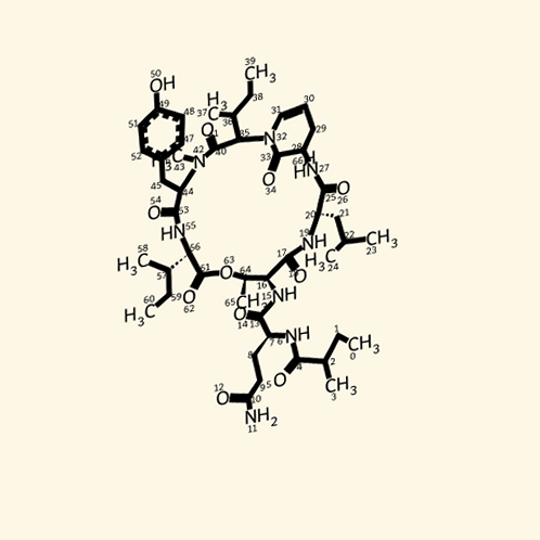 CCC(C)C(=O)N[C@@H](CCC(N)=O)C(=O)N[C@@H]1C(=O)N[C@@H](CC(C)C)C(=O)N[C@H]2CC=CN(C2=O)C(C(C)CC)C(=O)N(C)C(Cc2ccc(O)cc2)C(=O)N[C@@H](C(C)CC)C(=O)O[C@@H]1C